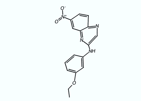 CCOc1cccc(Nc2cnc3ccc([N+](=O)[O-])cc3n2)c1